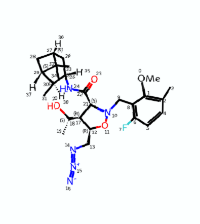 COc1c(C)ccc(F)c1CN1O[C@@H](CN=[N+]=[N-])[C@@H]([C@H](C)O)[C@H]1C(=O)N[C@H]1C[C@H]2C[C@@H]([C@@H]1C)C2(C)C